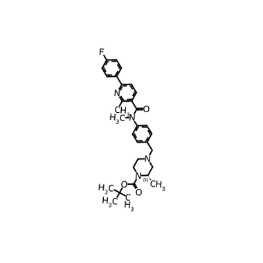 Cc1nc(-c2ccc(F)cc2)ccc1C(=O)N(C)c1ccc(CN2CCN(C(=O)OC(C)(C)C)[C@@H](C)C2)cc1